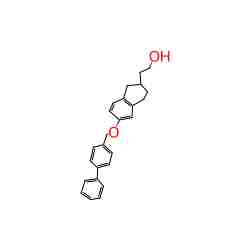 OCCC1CCc2cc(OCc3ccc(-c4ccccc4)cc3)ccc2C1